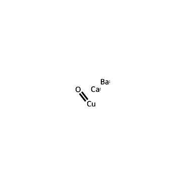 [Ba].[Ca].[O]=[Cu]